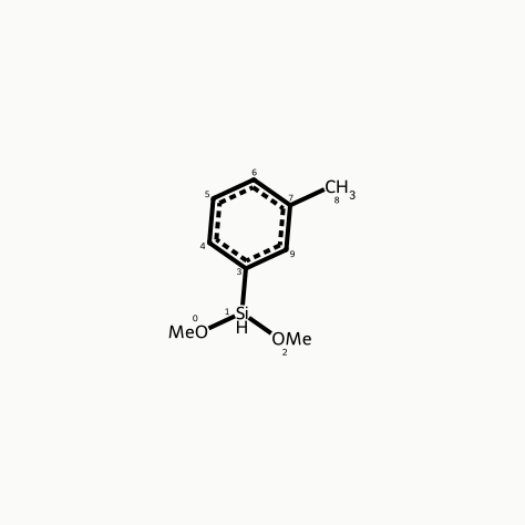 CO[SiH](OC)c1cccc(C)c1